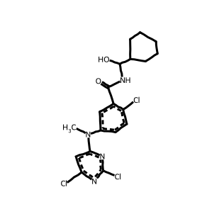 CN(c1ccc(Cl)c(C(=O)NC(O)C2CCCCC2)c1)c1cc(Cl)nc(Cl)n1